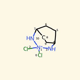 Cl[N+]1(Cl)NC2CCC(CC2)N1